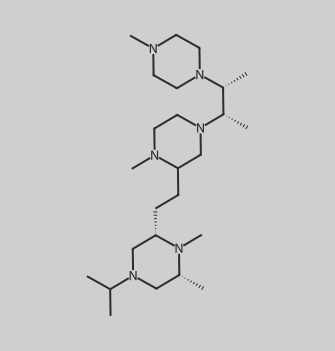 CC(C)N1C[C@H](CCC2CN([C@@H](C)[C@@H](C)N3CCN(C)CC3)CCN2C)N(C)[C@H](C)C1